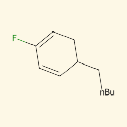 CCCCCC1C=CC(F)=CC1